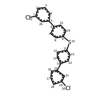 Clc1cccc(-c2ccc(Sc3ccc(-c4cccc(Cl)c4)cc3)cc2)c1